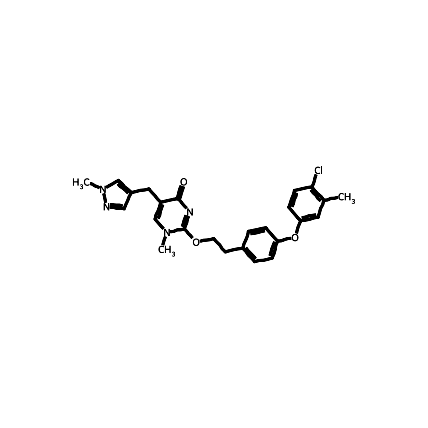 Cc1cc(Oc2ccc(CCOc3nc(=O)c(Cc4cnn(C)c4)cn3C)cc2)ccc1Cl